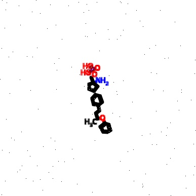 C[C@H](CCc1ccc([C@@H]2CC[C@](N)(COP(=O)(O)O)C2)cc1)Oc1ccccc1